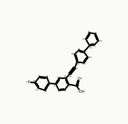 O=C(O)c1ccc(-c2ccc(F)cc2)cc1C#Cc1ccc(-c2ccccc2)cc1